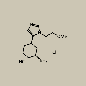 COCCn1cncc1[C@@H]1CCC[C@H](N)C1.Cl.Cl